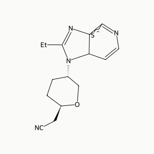 CCC1=NC23SC=CC2=NC=CC3N1[C@H]1CC[C@H](CC#N)OC1